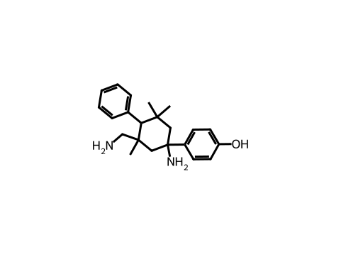 CC1(C)CC(N)(c2ccc(O)cc2)CC(C)(CN)C1c1ccccc1